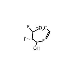 C=CC(=O)O.OC(F)C(F)C(F)F